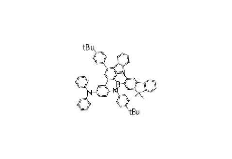 CC(C)(C)c1ccc(-c2cc3c4c5c2c2ccccc2n5-c2cc5c(cc2B4N(c2ccc(C(C)(C)C)cc2)c2ccc(N(c4ccccc4)c4ccccc4)cc2-3)C(C)(C)c2ccccc2-5)cc1